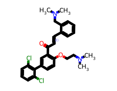 CN(C)CCOc1ccc(-c2c(Cl)cccc2Cl)cc1C(=O)/C=C/c1ccccc1CN(C)C